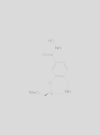 COC[C@@H]1CNCc2ccc(C(=O)NO)cc2O1